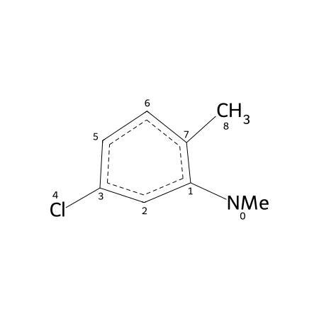 CNc1cc(Cl)ccc1C